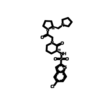 O=C1[C@@H](NS(=O)(=O)c2cc3cc(Cl)ccc3s2)CCCN1CC(=O)N1CCC[C@H]1CN1CCCC1